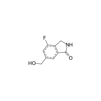 O=C1NCc2c(F)cc(CO)cc21